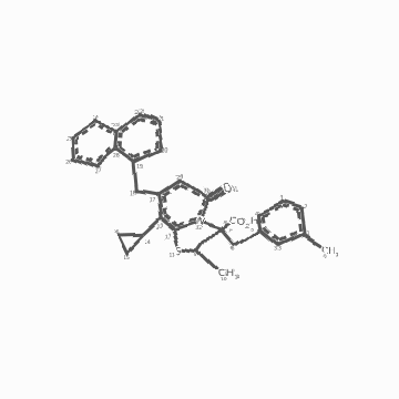 Cc1cccc(CC2(C(=O)O)C(C)Sc3c(C4CC4)c(Cc4cccc5ccccc45)cc(=O)n32)c1